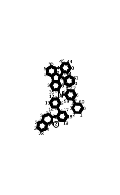 C1=CCCC(c2cccc(N(c3cccc(-c4cccc5c4C4C=Cc6ccccc6C4O5)c3)c3ccc4c(c3)C(c3ccccc3)(c3ccccc3)c3ccccc3-4)c2)=C1